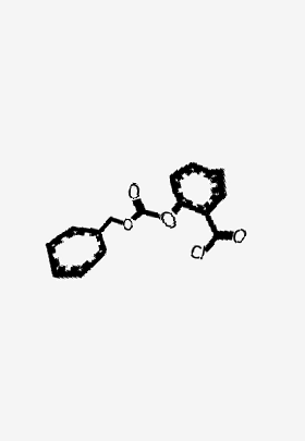 O=C(OCc1ccccc1)Oc1ccccc1C(=O)Cl